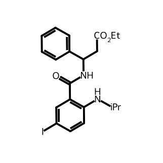 CCOC(=O)CC(NC(=O)c1cc(I)ccc1NC(C)C)c1ccccc1